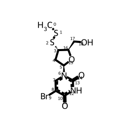 CSS[C@H]1C[C@H](n2cc(Br)c(=O)[nH]c2=O)O[C@@H]1CO